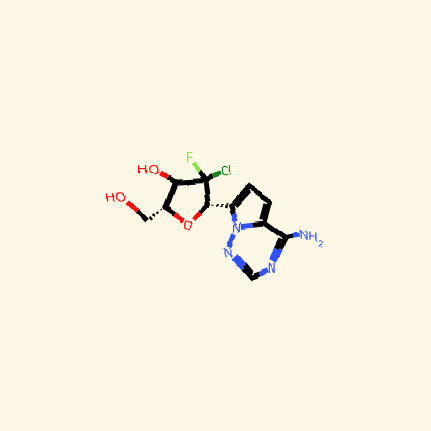 Nc1ncnn2c([C@@H]3O[C@H](CO)C(O)C3(F)Cl)ccc12